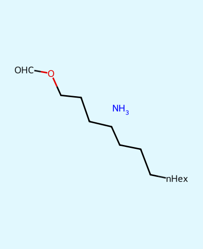 CCCCCCCCCCCCCOC=O.N